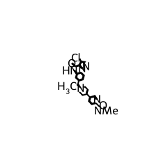 CNC(=O)c1ccc(C2=CCN(C(C)c3ccc4c(c3)[nH]c(=O)c3c(Cl)cnn34)CC2)cn1